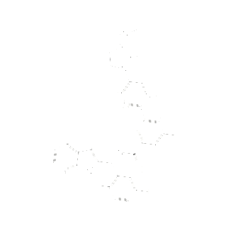 Cc1cc(C(=O)N[C@@H](c2cc3ccccc3[nH]2)c2cc(F)ccc2O)cc(-c2ncc(N3CC[C@H](N(C)C)C3)cn2)c1